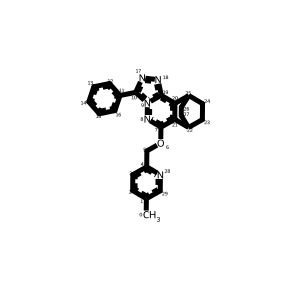 Cc1ccc(COc2nn3c(-c4ccccc4)nnc3c3c2C2CCC3CC2)nc1